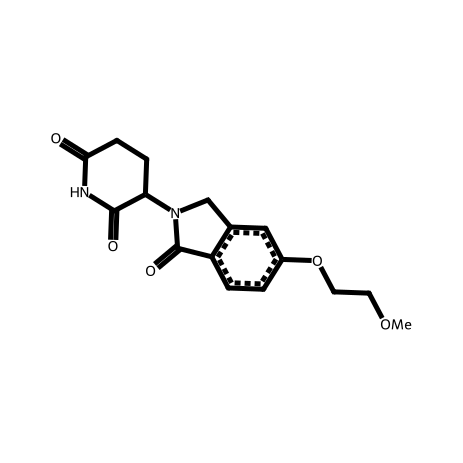 COCCOc1ccc2c(c1)CN(C1CCC(=O)NC1=O)C2=O